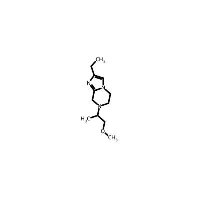 CCc1cn2c(n1)CN(C(C)COC)CC2